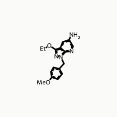 CCOc1nn(Cc2ccc(OC)cc2)c2ncc(N)cc12